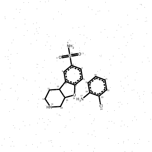 NS(=O)(=O)c1ccc2c(c1)C1CCNCC1O2.Nc1ccccc1Cl